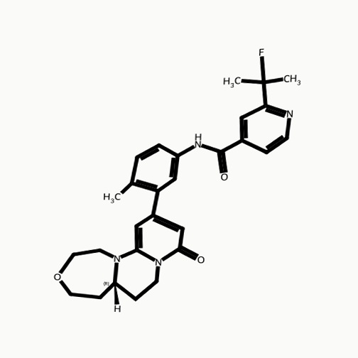 Cc1ccc(NC(=O)c2ccnc(C(C)(C)F)c2)cc1-c1cc2n(c(=O)c1)CC[C@@H]1CCOCCN21